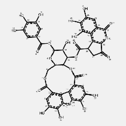 O=C(OC1OC2COC(=O)c3cc(O)c(O)c(O)c3-c3c(cc(O)c(O)c3O)C(=O)OC2C(OC(=O)C2CC(=O)c3oc(=O)c4cc(O)c(O)c(O)c4c32)C1O)c1cc(O)c(O)c(O)c1